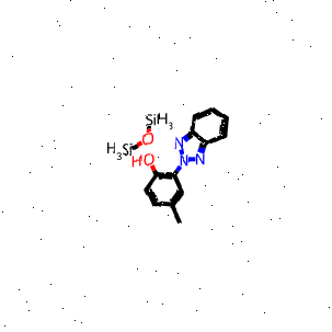 Cc1ccc(O)c(-n2nc3ccccc3n2)c1.[SiH3]O[SiH3]